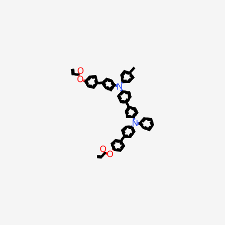 C=CC(=O)Oc1ccc(-c2ccc(N(c3ccccc3)c3ccc(-c4ccc(N(c5ccc(C)cc5)c5ccc(-c6ccc(OC(=O)C=C)cc6)cc5)cc4)cc3)cc2)cc1